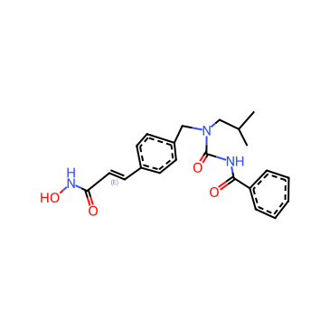 CC(C)CN(Cc1ccc(/C=C/C(=O)NO)cc1)C(=O)NC(=O)c1ccccc1